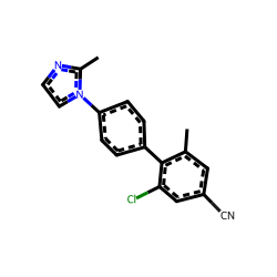 Cc1cc(C#N)cc(Cl)c1-c1ccc(-n2ccnc2C)cc1